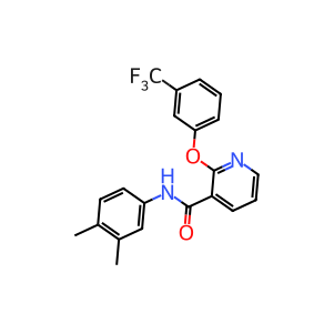 Cc1ccc(NC(=O)c2cccnc2Oc2cccc(C(F)(F)F)c2)cc1C